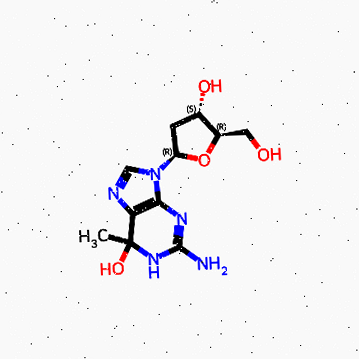 CC1(O)NC(N)=Nc2c1ncn2[C@H]1C[C@H](O)[C@@H](CO)O1